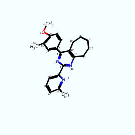 COc1ccc(-c2nc(-c3cccc(C)n3)nc3c2CCCCC3)cc1C